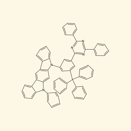 c1ccc(-c2nc(-c3ccccc3)nc(-c3cc(-n4c5ccccc5c5cc6c7ccccc7n(-c7ccccc7)c6cc54)cc(C(c4ccccc4)(c4ccccc4)c4ccccc4)c3)n2)cc1